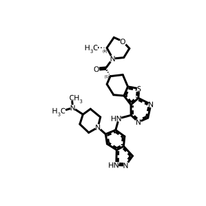 C[C@@H]1COCCN1C(=O)[C@H]1CCc2c(sc3ncnc(Nc4cc5cn[nH]c5cc4N4CCC(N(C)C)CC4)c23)C1